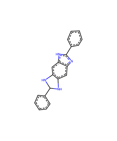 c1ccc(-c2nc3cc4c(cc3[nH]2)NC(c2ccccc2)N4)cc1